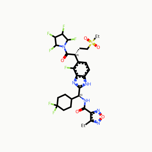 CCc1nonc1C(=O)N[C@H](c1nc2c(F)c([C@@H](CCS(=O)(=O)CC)C(=O)N3C(F)C(F)C(F)C3F)ccc2[nH]1)C1CCC(F)(F)CC1